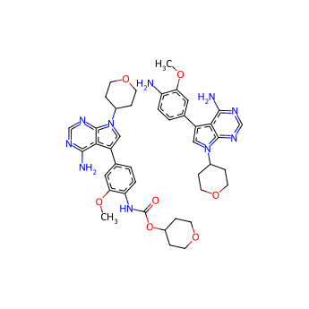 COc1cc(-c2cn(C3CCOCC3)c3ncnc(N)c23)ccc1N.COc1cc(-c2cn(C3CCOCC3)c3ncnc(N)c23)ccc1NC(=O)OC1CCOCC1